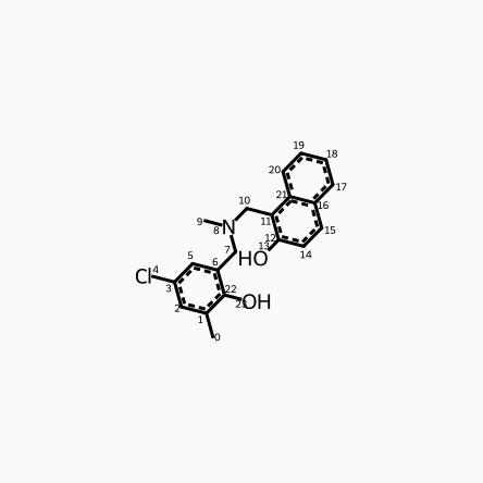 Cc1cc(Cl)cc(CN(C)Cc2c(O)ccc3ccccc23)c1O